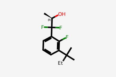 CCC(C)(C)c1cccc(C(F)(F)[C@@H](C)O)c1F